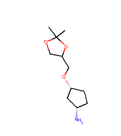 CC1(C)OCC(CO[C@@H]2CC[C@H](N)C2)O1